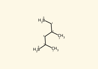 BCC(C)CC(B)C